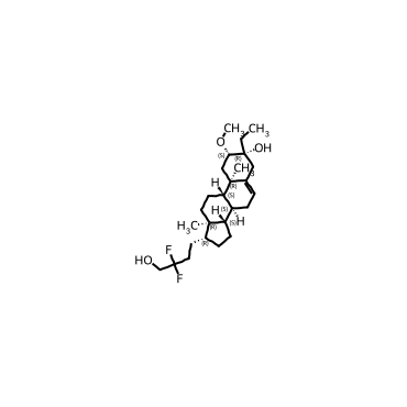 CC[C@@]1(O)CC2=CC[C@H]3[C@@H]4CC[C@H](CCC(F)(F)CO)[C@@]4(C)CC[C@@H]3[C@@]2(C)C[C@@H]1OC